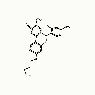 COCCCOc1ccc2c(c1)OC(c1ccc(OC)cc1F)n1cc(C(=O)O)c(=O)cc1-2